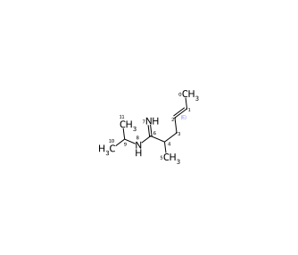 C/C=C/CC(C)C(=N)NC(C)C